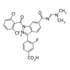 CN(C)C=NC(=O)c1ccc2c(-c3ccc(C(=O)O)cc3F)nn(C(=O)c3c(Cl)cccc3C(F)(F)F)c2c1